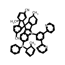 CC1C=CC2=C(C1)C1(c3cc(C#N)ccc3[C@]3(C)C=CC(C#N)=CC13)c1c2n(-c2cc(-c3ccccn3)cc(-c3ccccn3)c2)c2cc(N(c3ccccc3)C3C=CC=CC3C)ccc12